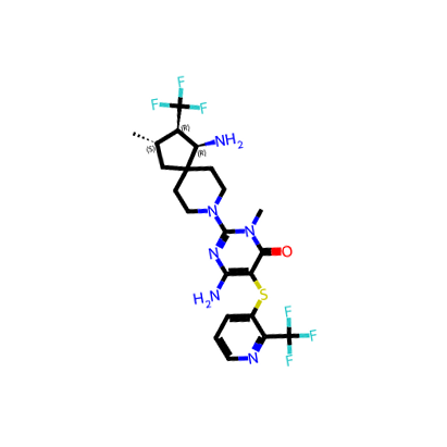 C[C@H]1CC2(CCN(c3nc(N)c(Sc4cccnc4C(F)(F)F)c(=O)n3C)CC2)[C@H](N)[C@@H]1C(F)(F)F